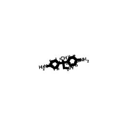 CC(C)CC(C)(c1ccc(N)cc1)c1ccc(N)cc1